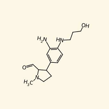 CN1CCC(c2ccc(NCCCO)c(N)c2)C1C=O